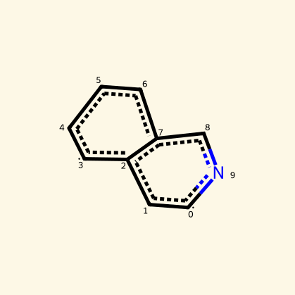 [c]1cc2[c]cccc2cn1